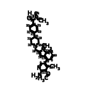 COc1c(N)ncc(-c2ccnc3c2cc(CN2CCC(c4ccc(C(=O)N(C)C)cc4)CC2)n3C)c1C